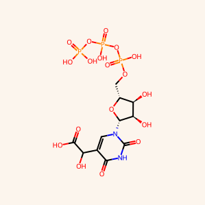 O=C(O)C(O)c1cn([C@@H]2O[C@H](COP(=O)(O)OP(=O)(O)OP(=O)(O)O)[C@@H](O)[C@H]2O)c(=O)[nH]c1=O